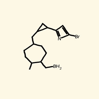 BCC1CCC(CC2CC2C2=NC(Br)=C2)CCC1C